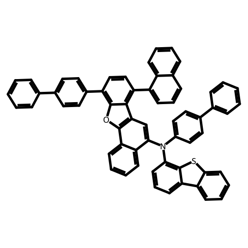 c1ccc(-c2ccc(-c3ccc(-c4cccc5ccccc45)c4c3oc3c5ccccc5c(N(c5ccc(-c6ccccc6)cc5)c5cccc6c5sc5ccccc56)cc34)cc2)cc1